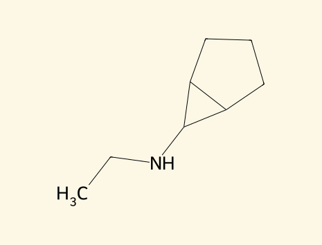 CCNC1C2CCCC21